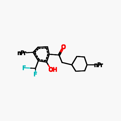 CCCc1ccc(C(=O)CC2CCC(CCC)CC2)c(O)c1C(F)F